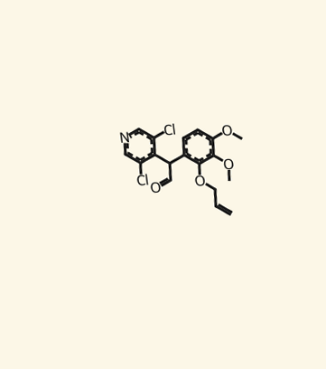 C=CCOc1c(C(C=O)c2c(Cl)cncc2Cl)ccc(OC)c1OC